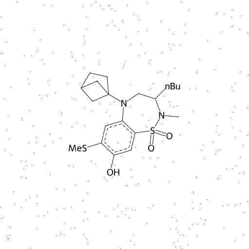 CCCCC1CN(C23CCC(C2)C3)c2cc(SC)c(O)cc2S(=O)(=O)N1C